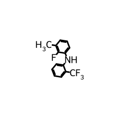 Cc1cccc(Nc2ccccc2C(F)(F)F)c1F